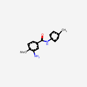 COc1ccc(C(=O)Nc2ccc(C)cc2)cc1N